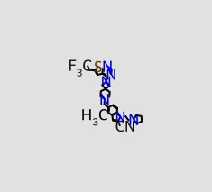 Cc1c(CN2CCC3(CC2)CN(c2ncnc4sc(CC(F)(F)F)cc24)C3)ccc2c1cc(C#N)n2CCN1CCCC1